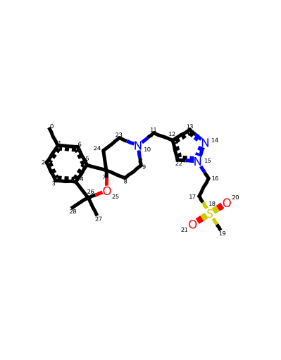 Cc1ccc2c(c1)C1(CCN(Cc3cnn(CCS(C)(=O)=O)c3)CC1)OC2(C)C